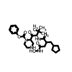 CC(C)(C)[C@H](NC(=O)C(CC(=O)NO)CC1CCCC1)C(=O)C1CNCCN1C(=O)Oc1ccccc1